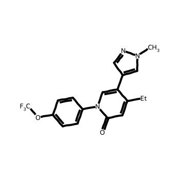 CCc1cc(=O)n(-c2ccc(OC(F)(F)F)cc2)cc1-c1cnn(C)c1